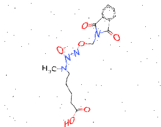 CN(CCCCC(=O)O)[N+]([O-])=NOCN1C(=O)c2ccccc2C1=O